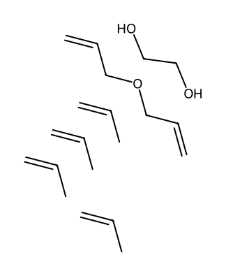 C=CC.C=CC.C=CC.C=CC.C=CCOCC=C.OCCO